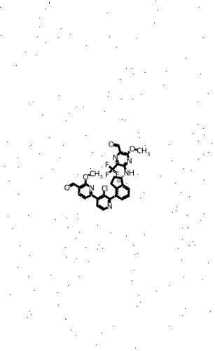 COc1nc(-c2ccnc(-c3cccc4c3CC[C@@H]4Nc3nc(OC)c(C=O)nc3C(F)(F)F)c2Cl)ccc1C=O